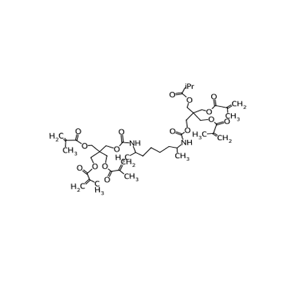 C=C(C)C(=O)OCC(COC(=O)NC(C)CCCCC(C)NC(=O)OCC(COC(=O)C(=C)C)(COC(=O)C(=C)C)COC(=O)C(C)C)(COC(=O)C(=C)C)COC(=O)C(=C)C